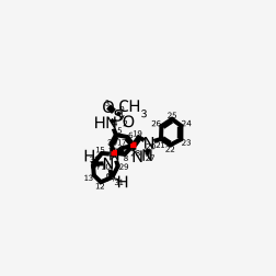 CS(=O)(=O)Nc1cccc(N2[C@@H]3CC[C@H]2CN(Cc2cn(-c4ccccc4)nn2)C3)c1